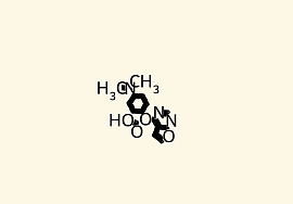 CN(C)[C@H]1CC[C@H](Oc2ncnc3occc23)CC1.O=CO